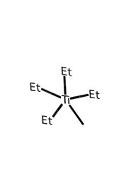 C[CH2][Ti]([CH3])([CH2]C)([CH2]C)[CH2]C